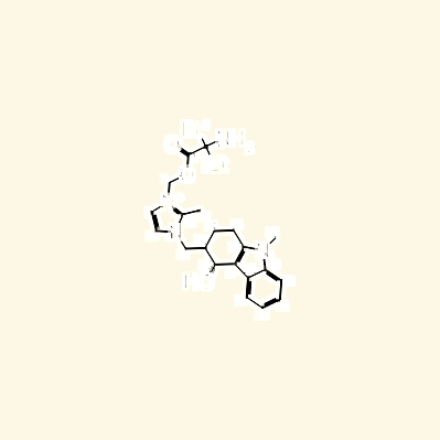 CCC(N)(CC)C(=O)OC[n+]1ccn(CC2CCc3c(c4ccccc4n3C)C2O)c1C